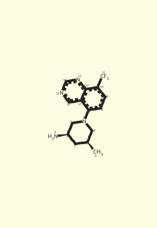 C[C@H]1C[C@@H](N)CN(c2ccc(C(F)(F)F)c3ncncc23)C1